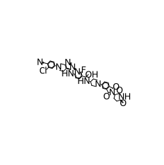 N#Cc1ccc(N2CCc3c(ncnc3Nc3ccc(C(O)NC4CCN(c5ccc6c(c5)C(=O)N(C5CCC(=O)NC5=O)C6=O)CC4)c(F)n3)C2)cc1Cl